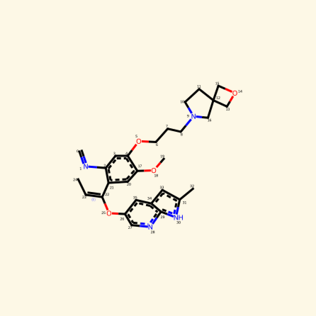 C=Nc1cc(OCCCN2CCC3(COC3)C2)c(OC)cc1/C(=C\C)Oc1cnc2[nH]c(C)cc2c1